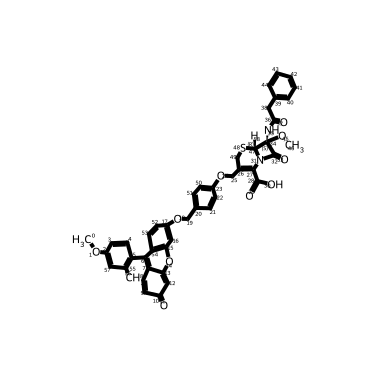 COc1ccc(-c2c3ccc(=O)cc-3oc3cc(OCc4ccc(OCC5=C(C(=O)O)N6C(=O)[C@](NC(=O)Cc7ccccc7)(OC)[C@H]6SC5)cc4)ccc23)c(C)c1